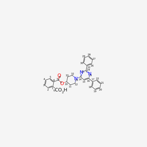 O=C(O)c1ccccc1C(=O)OC1CCN(c2cc(-c3ccccc3)nc(-c3ccccc3)n2)CC1